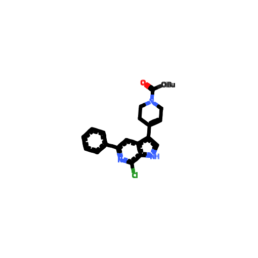 CC(C)COC(=O)N1CC=C(c2c[nH]c3c(Cl)nc(-c4ccccc4)cc23)CC1